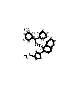 CC1=CCC(c2ccc3ccccc3[c]2[Ti+2][O]C(c2ccccc2)c2ccccc2)=C1.[Cl-].[Cl-]